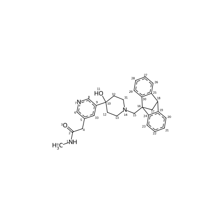 CNC(=O)Cc1cncc(C2(O)CCN(CC34CC(c5ccccc53)c3ccccc34)CC2)c1